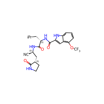 CC(C)C[C@H](NC(=O)c1cc2c(OC(F)(F)F)cccc2[nH]1)C(=O)N[C@H](C#N)C[C@@H]1CCNC1=O